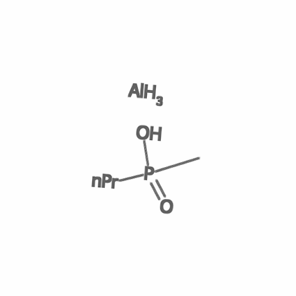 CCCP(C)(=O)O.[AlH3]